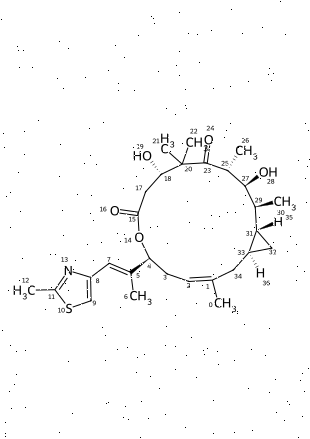 C/C1=C/C[C@@H](/C(C)=C/c2csc(C)n2)OC(=O)C[C@H](O)C(C)(C)C(=O)[C@H](C)[C@@H](O)[C@@H](C)[C@@H]2C[C@H]2C1